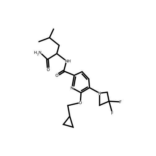 CC(C)CC(NC(=O)c1ccc(N2CC(F)(F)C2)c(OCC2CC2)n1)C(N)=O